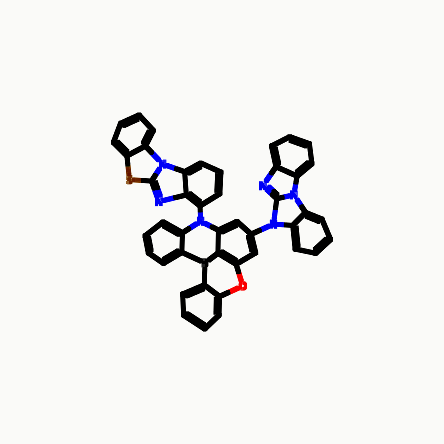 c1ccc2c(c1)Oc1cc(-n3c4ccccc4n4c5ccccc5nc34)cc3c1B2c1ccccc1N3c1cccc2c1nc1sc3ccccc3n12